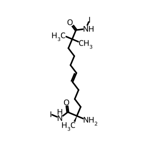 CC(C)(CCC/C=C/CCC[C@](C)(N)C(=O)NI)C(=O)NI